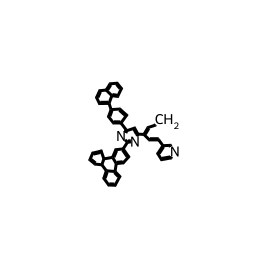 C=C/C=C(\C=C\c1cccnc1)c1cc(-c2ccc(-c3cccc4ccccc34)cc2)nc(-c2ccc3c(c2)C2C=CC=CC2c2ccccc2-3)n1